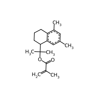 C=C(C)C(=O)OC(C)(C)C1CCCc2c(C)cc(C)cc21